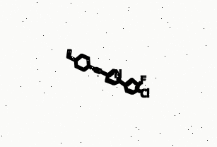 C=CC1CCC(C#Cc2ccc(-c3ccc(Cl)c(F)c3)nc2)CC1